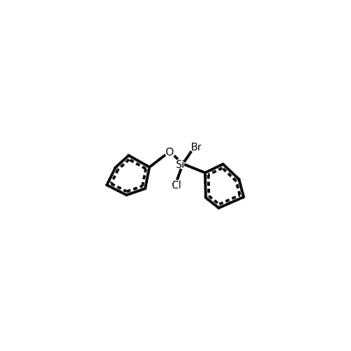 Cl[Si](Br)(Oc1ccccc1)c1ccccc1